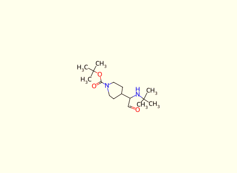 CC(C)(C)NC(C=O)C1CCN(C(=O)OC(C)(C)C)CC1